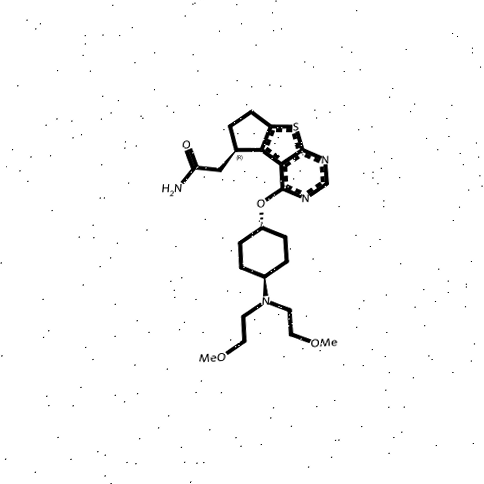 COCCN(CCOC)[C@H]1CC[C@H](Oc2ncnc3sc4c(c23)[C@@H](CC(N)=O)CC4)CC1